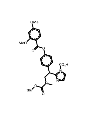 COc1ccc(C(=O)Oc2ccc(C(CN(C)C(=O)OC(C)(C)C)c3nccn3C(=O)O)cc2)c(OC)c1